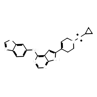 O=S(=O)(C1CC1)N1CC=C(c2cc3c(Nc4ccc5ncsc5c4)ncnc3[nH]2)CC1